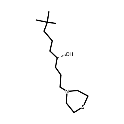 CC(C)(C)CCC[C@H](O)CCCN1CCSCC1